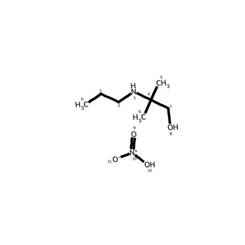 CCCNC(C)(C)CO.O=[N+]([O-])O